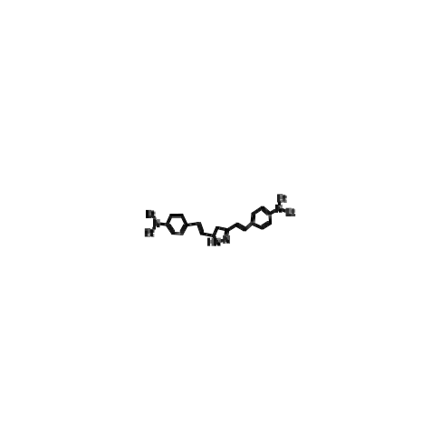 CCN(CC)c1ccc(C=CC2=NNC(C=Cc3ccc(N(CC)CC)cc3)C2)cc1